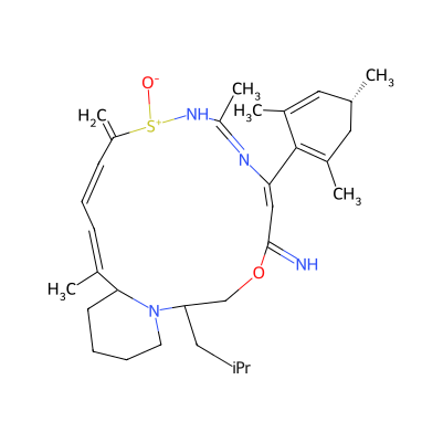 C=C1/C=C\C=C(/C)C2CCCCN2C(CC(C)C)COC(=N)/C=C(C2=C(C)C[C@@H](C)C=C2C)\N=C(/C)N[S+]1[O-]